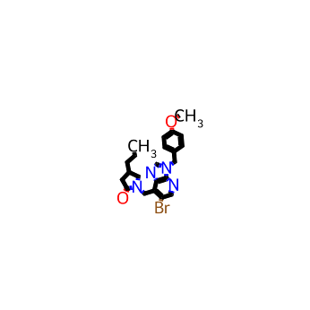 CCCC1CC(=O)N(Cc2c(Br)cnc3c2ncn3Cc2ccc(OC)cc2)C1